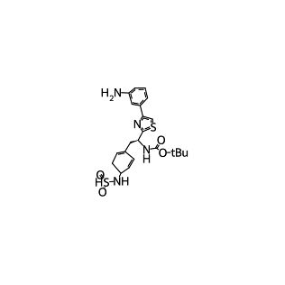 CC(C)(C)OC(=O)N[C@@H](CC1=CCC(N[SH](=O)=O)C=C1)c1nc(-c2cccc(N)c2)cs1